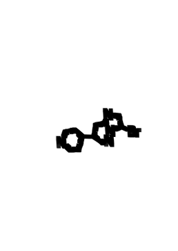 Brc1cnc2cc(-c3ccncc3)cnn12